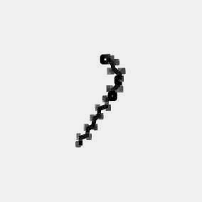 CCCCCCCCCCOCC=C=CCCCl